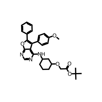 COc1ccc(-c2c(-c3ccccc3)oc3ncnc(NC4CCCC(OCC(=O)OC(C)(C)C)C4)c23)cc1